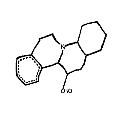 O=CC1CC2CCCCC2N2CCc3ccccc3C12